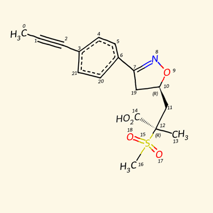 CC#Cc1ccc(C2=NO[C@@H](C[C@](C)(C(=O)O)S(C)(=O)=O)C2)cc1